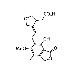 COc1c(C)c2c(c(O)c1CC=C1COCC1CC(=O)O)C(=O)OC2